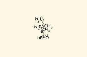 C/C=C\CCCC(C)CC(C)CC(C)N1CC1CCNCCC